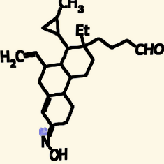 C=CC1CC2=C/C(=N/O)CCC2C2CCC(CC)(CCCC=O)C(C3CC3C)C12